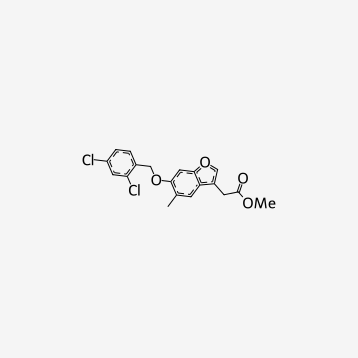 COC(=O)Cc1coc2cc(OCc3ccc(Cl)cc3Cl)c(C)cc12